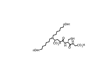 CCCCCCCCCCCCCCCCN(CCCCCCCCCCCCCCCC)[C@@H](CCC(=O)N[C@@H](CS)C(=O)NCC(=O)O)C(=O)O